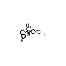 CCN1CCN(C(=O)C(C)N2CCCc3cc(F)ccc32)CC1